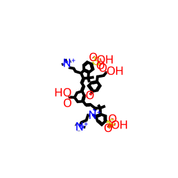 CC1(C)C(/C=C/C2=C(Oc3ccc(CCC(=O)O)cc3)C(=C/C=C3/C(CCC[N+](C)(C)C)c4ccc(S(=O)(=O)O)cc4C3(C)C)/CC(C(=O)O)C2)=[N+](CCC[N+](C)(C)C)c2ccc(S(=O)(=O)O)cc21